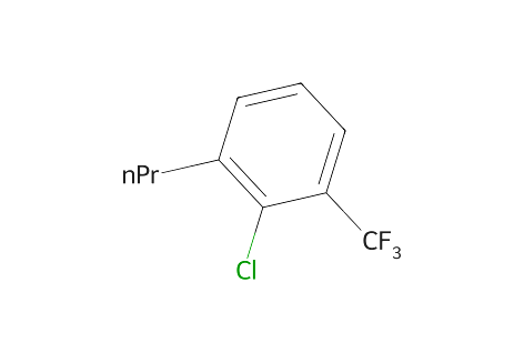 [CH2]CCc1cccc(C(F)(F)F)c1Cl